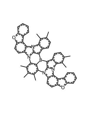 Cc1ccc2c3c4n(c5ccc6oc7ccccc7c6c5n4c2c1C)-c1c(C)c(C)c(C)c2c1B3c1c3ccc(C)c(C)c3n3c4c5c(ccc4n-2c13)oc1ccccc15